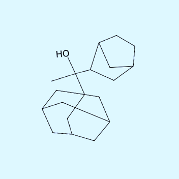 CC(O)(C1CC2CCC1C2)C12CC3CC(CC(C3)C1)C2